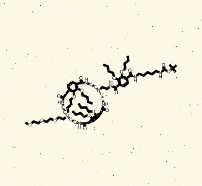 CCCCOc1c(C(=O)NCCCCCNC(=O)OC(C)(C)C)ccc(C(=O)NCCN2CCNC(=O)c3ccc(c(OCCCC)c3OCCCC)C(=O)NCCN(CCOCCOCCOC)CCNC(=O)c3ccc(c(OCCCC)c3OCCCC)C(=O)NCC2)c1OCCCC